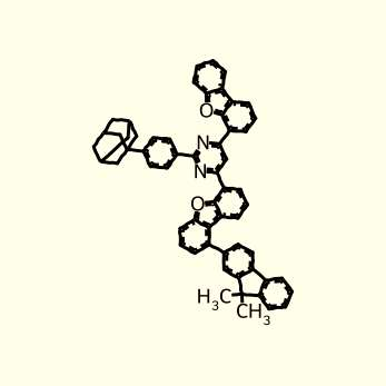 CC1(C)c2ccccc2-c2ccc(-c3cccc4oc5c(-c6cc(-c7cccc8c7oc7ccccc78)nc(-c7ccc(C89CC%10CC(CC(C%10)C8)C9)cc7)n6)cccc5c34)cc21